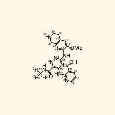 [2H]C([2H])([2H])NC(=O)c1nnc(Nc2cc3c(cc2OC)CCN(C)C3)nc1Nc1ncccc1CO